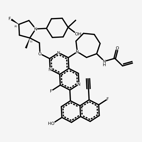 C#Cc1c(F)ccc2cc(O)cc(-c3ncc4c(N5CCCCC(NC(=O)C=C)C5)nc(OC[C@]5(C)C[C@@H](F)CN5C5CCC(C)(O)CC5)nc4c3F)c12